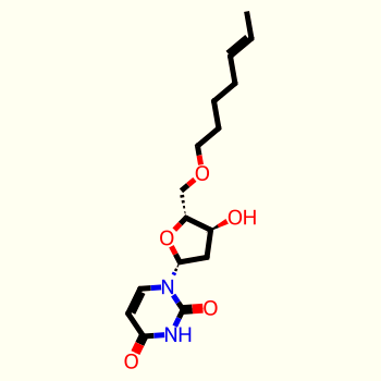 CC=CCCCCOC[C@H]1O[C@@H](n2ccc(=O)[nH]c2=O)C[C@@H]1O